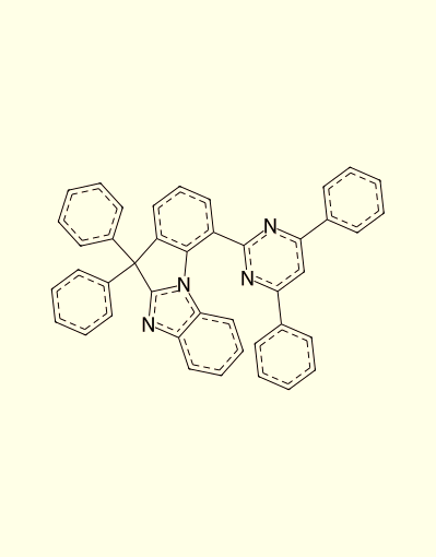 c1ccc(-c2cc(-c3ccccc3)nc(-c3cccc4c3-n3c(nc5ccccc53)C4(c3ccccc3)c3ccccc3)n2)cc1